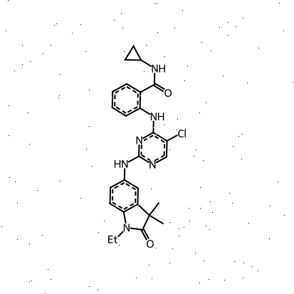 CCN1C(=O)C(C)(C)c2cc(Nc3ncc(Cl)c(Nc4ccccc4C(=O)NC4CC4)n3)ccc21